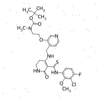 COc1c(NC(=S)C2=C(NCc3ccncc3OCCN(C)C(=O)OC(C)(C)C)CCNC2=O)ccc(F)c1Cl